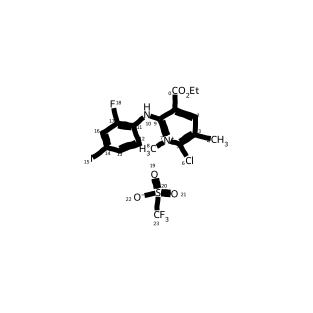 CCOC(=O)c1cc(C)c(Cl)[n+](C)c1Nc1ccc(I)cc1F.O=S(=O)([O-])C(F)(F)F